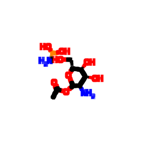 CC(=O)OC1O[C@H](CO)[C@H](O)[C@H](O)[C@H]1N.NP(O)O